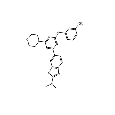 CN(C)c1nc2ccc(-c3nc(Nc4cccc(C(F)(F)F)c4)nc(N4CCOCC4)n3)cc2s1